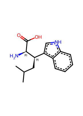 CC(C)C[C@H](c1c[nH]c2ccccc12)[C@@H](N)C(=O)O